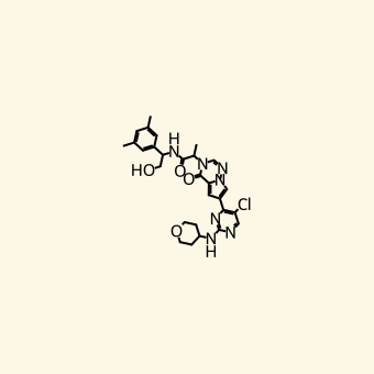 Cc1cc(C)cc(C(CO)NC(=O)C(C)n2cnn3cc(-c4nc(NC5CCOCC5)ncc4Cl)cc3c2=O)c1